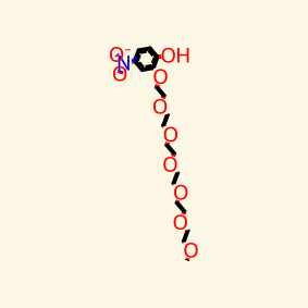 COCCOCCOCCOCCOCCOCCOc1cc([N+](=O)[O-])ccc1O